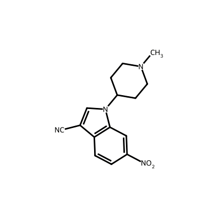 CN1CCC(n2cc(C#N)c3ccc([N+](=O)[O-])cc32)CC1